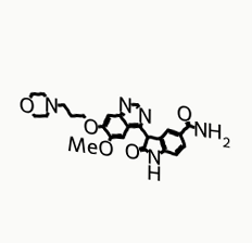 COc1cc2c(C3C(=O)Nc4ccc(C(N)=O)cc43)ncnc2cc1OCCCN1CCOCC1